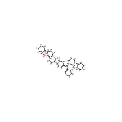 c1ccc(N(c2ccc3c(c2)oc2c3ccc3c2ccc2c4ccccc4oc23)c2cccc3c2oc2ccccc23)cc1